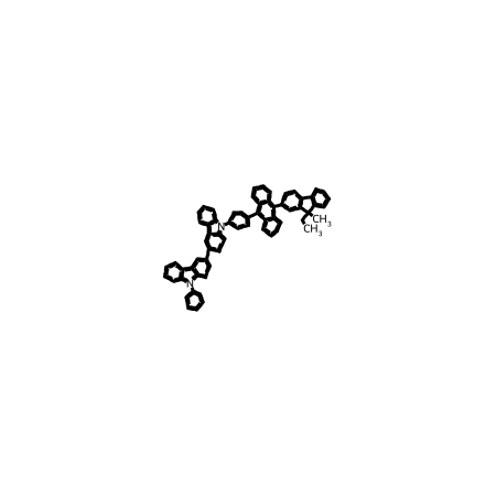 CCC1(C)c2ccccc2-c2ccc(-c3c4ccccc4c(-c4ccc(-n5c6ccccc6c6cc(-c7ccc8c(c7)c7ccccc7n8-c7ccccc7)ccc65)cc4)c4ccccc34)cc21